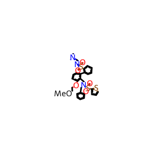 COCCOc1cccc(-c2ccccc2S(=O)(=O)N=CN(C)C)c1CN(Cc1ccccc1)S(=O)(=O)c1cccs1